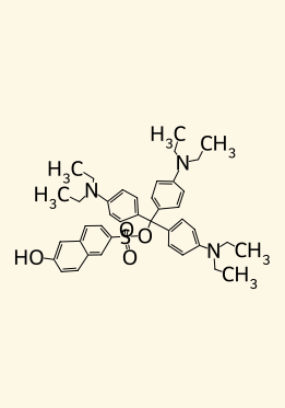 CCN(CC)c1ccc(C(OS(=O)(=O)c2ccc3cc(O)ccc3c2)(c2ccc(N(CC)CC)cc2)c2ccc(N(CC)CC)cc2)cc1